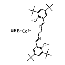 CC(C)(C)c1cc(C=NCCN=Cc2cc(C(C)(C)C)cc(C(C)(C)C)c2O)c(O)c(C(C)(C)C)c1.[Br-].[Br-].[Br-].[Co+3]